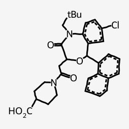 CC(C)(C)CN1C(=O)C(CC(=O)N2CCC(C(=O)O)CC2)OC(c2cccc3ccccc23)c2cc(Cl)ccc21